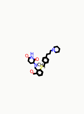 CN(Cc1c(C=O)cccc1SCc1ccc(CCCN2CCCCC2)cc1)C1CCC(=O)NC1=O